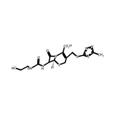 Cc1nnc(SCC2=C(C(=O)O)N3C(=O)C(NC(=O)NCCC#N)[C@@H]3SC2)s1